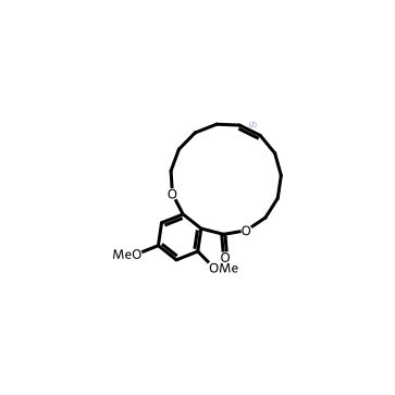 COc1cc(OC)c2c(c1)OCCCC/C=C\CCCCOC2=O